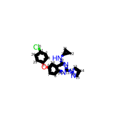 Clc1ccc(Oc2ccc3nc(-n4cccn4)nc(NC4CC4)c3c2)cc1